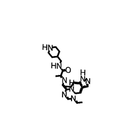 C/C=N/C=N\C(=C\N=C(/C)C(=O)NCC1CCNCC1)NC/C=c1/cn[nH]/c1=C/CC